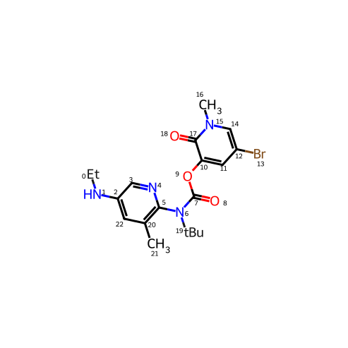 CCNc1cnc(N(C(=O)Oc2cc(Br)cn(C)c2=O)C(C)(C)C)c(C)c1